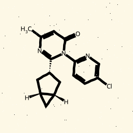 Cc1cc(=O)n(-c2ccc(Cl)cn2)c([C@@H]2C[C@@H]3C[C@@H]3C2)n1